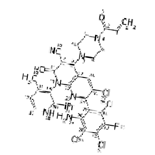 C=CC(=O)N1CCN(c2c(C#N)c(=O)n(C3=C(C)C=CN[C@@H]3C(C)C)c3nc(-c4c(N)c(Cl)c(Cl)c(F)c4Cl)c(Cl)cc23)CC1